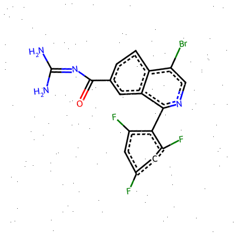 NC(N)=NC(=O)c1ccc2c(Br)cnc(-c3c(F)cc(F)cc3F)c2c1